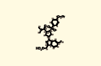 CC(C)Oc1ccc(S(=O)(=O)N2C[C@H](n3nc(CC(=O)O)c4ccc(F)cc43)C[C@H]2C(=O)N(C)C)cc1